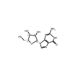 Nc1nc2c(ncn2[C@@H]2O[C@H](CS)[C@@H](O)[C@H]2O)c(=O)[nH]1